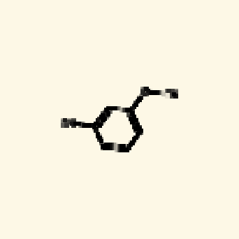 N#COc1cccc(N=O)c1